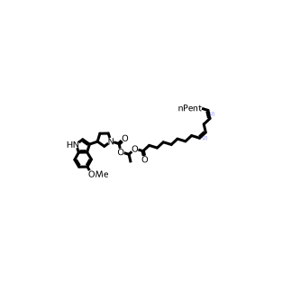 CCCCC/C=C\C/C=C\CCCCCCCC(=O)OC(C)OC(=O)N1CCC(c2c[nH]c3ccc(OC)cc23)C1